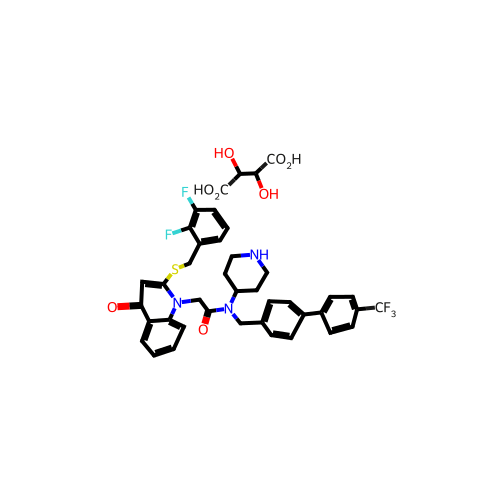 O=C(Cn1c(SCc2cccc(F)c2F)cc(=O)c2ccccc21)N(Cc1ccc(-c2ccc(C(F)(F)F)cc2)cc1)C1CCNCC1.O=C(O)C(O)C(O)C(=O)O